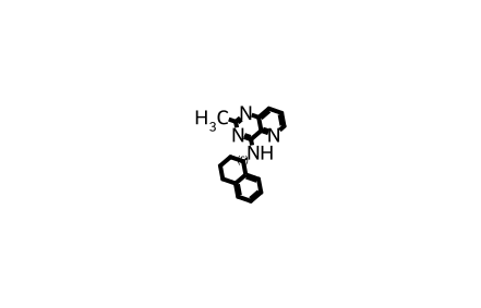 Cc1nc(N[C@H]2CCCc3ccccc32)c2ncccc2n1